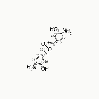 Nc1ccc(C=CS(=O)(=O)C=Cc2ccc(N)c(O)c2)cc1O